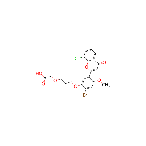 COc1cc(Br)c(OCCCOCC(=O)O)cc1-c1cc(=O)c2cccc(Cl)c2o1